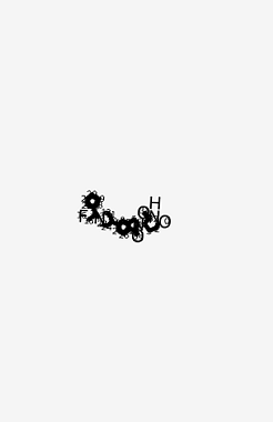 O=C1CCC(N2Cc3cc(C4CCN(C(CF)c5ccccc5)CC4)ccc3C2=O)C(=O)N1